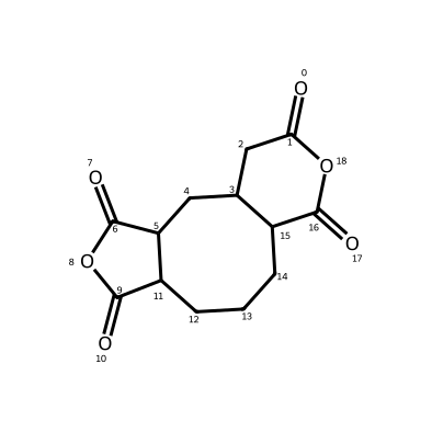 O=C1CC2CC3C(=O)OC(=O)C3CCCC2C(=O)O1